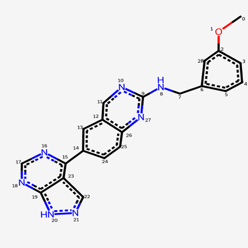 COc1cccc(CNc2ncc3cc(-c4ncnc5[nH]ncc45)ccc3n2)c1